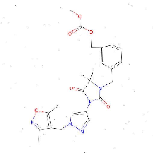 COC(=O)OCc1cccc(CN2C(=O)N(c3cnn(Cc4c(C)noc4C)c3)C(=O)C2(C)C)c1